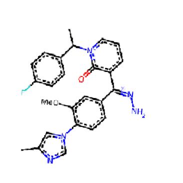 COc1cc(/C(=N\N)c2cccn(C(C)c3ccc(F)cc3)c2=O)ccc1-n1cnc(C)c1